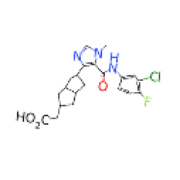 Cn1cnc(C2CC3CC(CC(=O)O)CC3C2)c1C(=O)Nc1ccc(F)c(Cl)c1